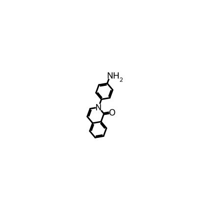 Nc1ccc(-n2ccc3ccccc3c2=O)cc1